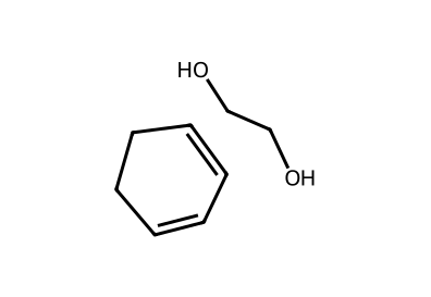 C1=CCCC=C1.OCCO